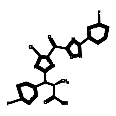 C[C@@H](C(=O)O)N(c1ccc(F)cc1)c1nc(Cl)c(C(=O)c2nc(-c3cccc(F)c3)no2)s1